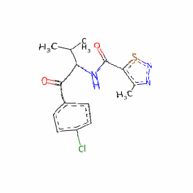 Cc1nnsc1C(=O)NC(C(=O)c1ccc(Cl)cc1)C(C)C